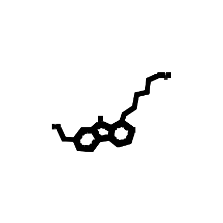 O=C(O)CCCCCc1nccc2c1[nH]c1cc(CO)ccc12